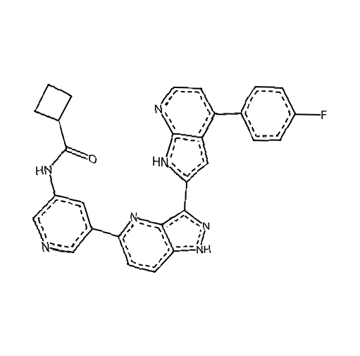 O=C(Nc1cncc(-c2ccc3[nH]nc(-c4cc5c(-c6ccc(F)cc6)ccnc5[nH]4)c3n2)c1)C1CCC1